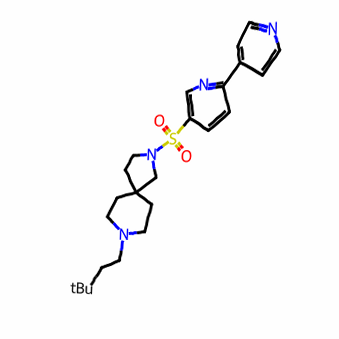 CC(C)(C)CCN1CCC2(CC1)CCN(S(=O)(=O)c1ccc(-c3ccncc3)nc1)C2